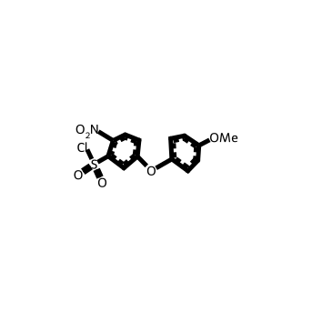 COc1ccc(Oc2ccc([N+](=O)[O-])c(S(=O)(=O)Cl)c2)cc1